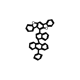 c1ccc(-c2c3ccccc3c(-c3ccc(-c4c5oc6ccccc6c5cc5oc6ccccc6c45)c4ccccc34)c3ccccc23)cc1